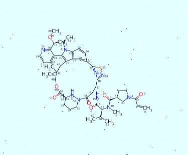 C=CC(=O)N1CC[C@H](C(=O)N(C)[C@H](C(=O)N[C@H]2Cc3nsc(n3)-c3ccc4c(c3)c(c(-c3cccnc3[C@H](C)OC)n4CC)CC(C)(C)COC(=O)[C@@H]3CCCN(N3)C2=O)C(C)C)C1